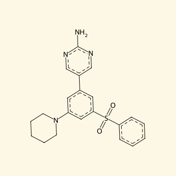 Nc1ncc(-c2cc(N3CCCCC3)cc(S(=O)(=O)c3ccccc3)c2)cn1